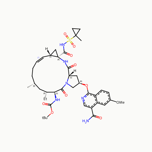 CC[C@@H]1C[C@H](C)CC/C=C\[C@@H]2C[C@@]2(C(=O)NS(=O)(=O)C2(C)CC2)NC(=O)[C@@H]2C[C@@H](Oc3ncc(C(N)=O)c4cc(OC)ccc34)CN2C(=O)[C@H]1NC(=O)OC(C)(C)C